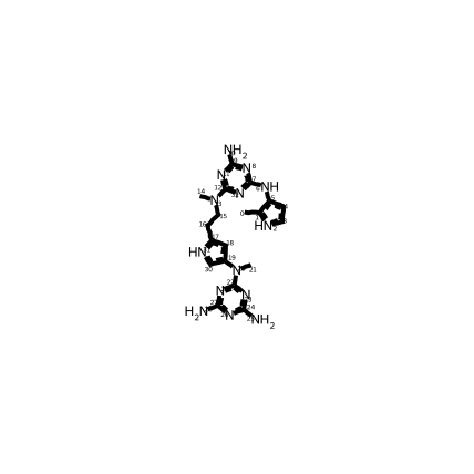 Cc1[nH]ccc1Nc1nc(N)nc(N(C)CCc2cc(N(C)c3nc(N)nc(N)n3)c[nH]2)n1